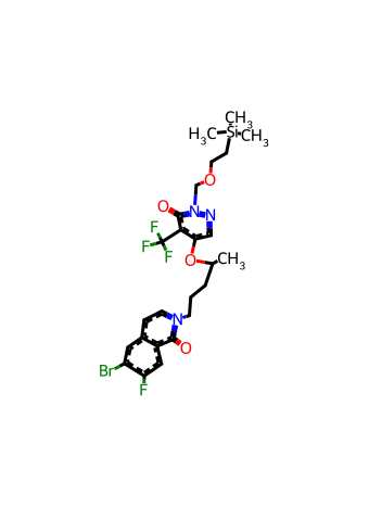 CC(CCCn1ccc2cc(Br)c(F)cc2c1=O)Oc1cnn(COCC[Si](C)(C)C)c(=O)c1C(F)(F)F